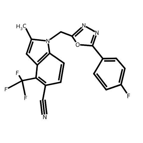 Cc1cc2c(C(F)(F)F)c(C#N)ccc2n1Cc1nnc(-c2ccc(F)cc2)o1